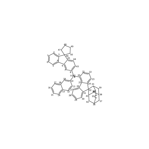 c1ccc2c(c1)-c1cc(N(c3ccc4ccccc4c3)c3cccc4c3-c3ccccc3C43C4CCC5CC(C4)CC3C5)ccc1C21CCCC1